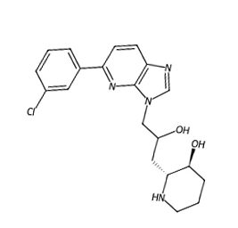 OC(C[C@H]1NCCC[C@@H]1O)Cn1cnc2ccc(-c3cccc(Cl)c3)nc21